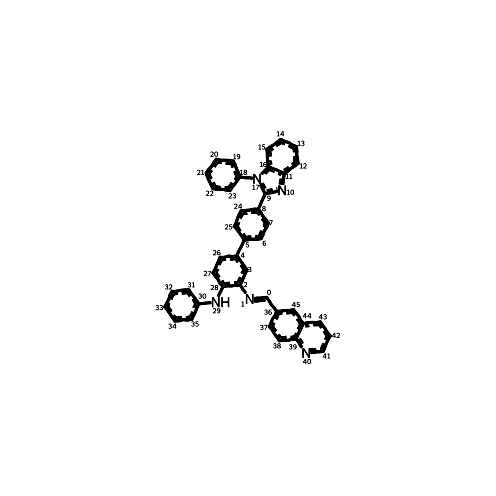 C(=N\c1cc(-c2ccc(-c3nc4ccccc4n3-c3ccccc3)cc2)ccc1Nc1ccccc1)/c1ccc2ncccc2c1